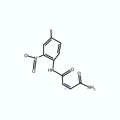 Cc1ccc(NC(=O)/C=C\C(N)=O)c([N+](=O)[O-])c1